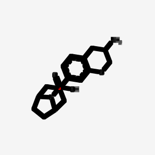 NC1COc2cc(N3CC4CCC(C3)N4C(=O)O)ccc2C1